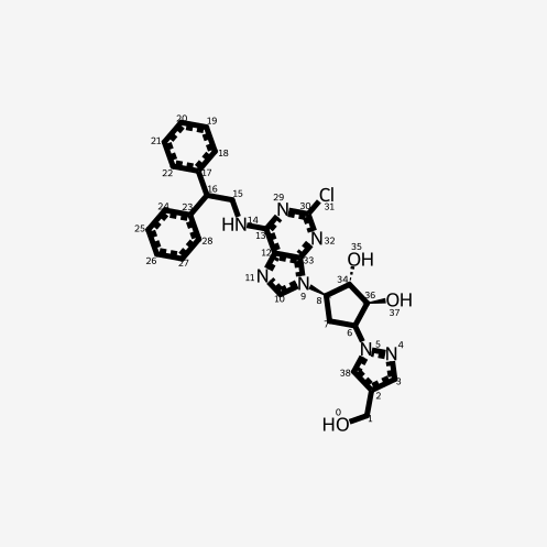 OCc1cnn(C2C[C@@H](n3cnc4c(NCC(c5ccccc5)c5ccccc5)nc(Cl)nc43)[C@H](O)[C@H]2O)c1